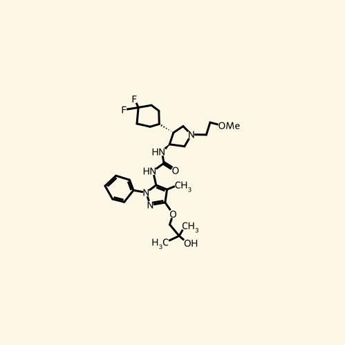 COCCN1C[C@@H](NC(=O)Nc2c(C)c(OCC(C)(C)O)nn2-c2ccccc2)[C@H](C2CCC(F)(F)CC2)C1